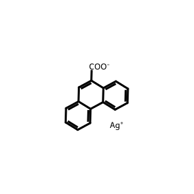 O=C([O-])c1cc2ccccc2c2ccccc12.[Ag+]